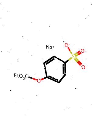 CCOC(=O)Oc1ccc(S(=O)(=O)[O-])cc1.[Na+]